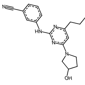 CCCc1cc(N2CCC(O)C2)nc(Nc2cccc(C#N)c2)n1